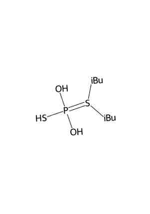 CCC(C)S(C(C)CC)=P(O)(O)S